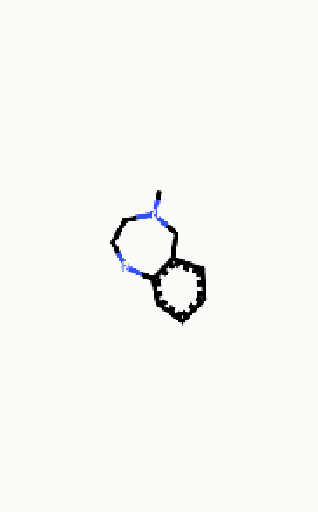 CN1CC[N]c2ccccc2C1